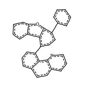 c1ccc(-c2ccc(-c3cccc4ccc5cccnc5c34)c3c2oc2ccccc23)cc1